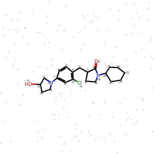 O=C1C(Cc2ccc(N3CCC(O)C3)cc2Cl)CCN1C1CCCCC1